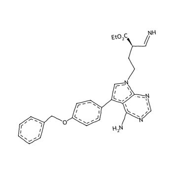 CCOC(=O)[C@@H](C=N)CCn1cc(-c2ccc(OCc3ccccc3)cc2)c2c(N)ncnc21